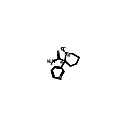 NC(=S)[C@]1(c2cccnc2)CCCC[S@@+]1[O-]